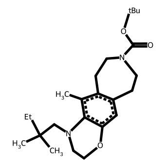 CCC(C)(C)CN1CCOc2cc3c(c(C)c21)CCN(C(=O)OC(C)(C)C)CC3